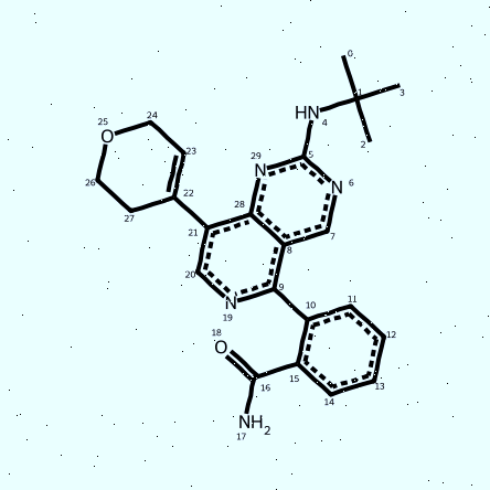 CC(C)(C)Nc1ncc2c(-c3ccccc3C(N)=O)ncc(C3=CCOCC3)c2n1